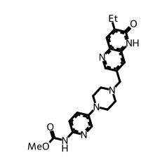 CCc1cc2ncc(CN3CCN(c4ccc(NC(=O)OC)nc4)CC3)cc2[nH]c1=O